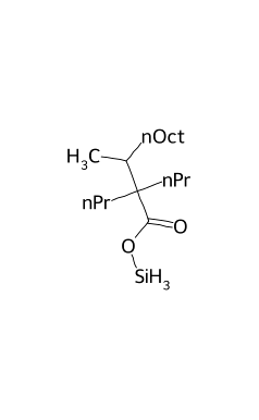 CCCCCCCCC(C)C(CCC)(CCC)C(=O)O[SiH3]